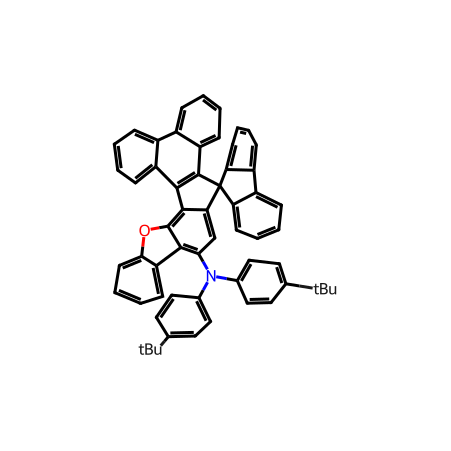 CC(C)(C)c1ccc(N(c2ccc(C(C)(C)C)cc2)c2cc3c(c4oc5ccccc5c24)-c2c(c4ccccc4c4ccccc24)C32c3ccccc3-c3ccccc32)cc1